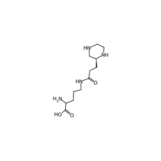 NC(CCCNC(=O)CC[C@H]1CNCCN1)C(=O)O